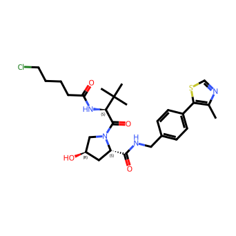 Cc1ncsc1-c1ccc(CNC(=O)[C@@H]2C[C@@H](O)CN2C(=O)[C@@H](NC(=O)CCCCCl)C(C)(C)C)cc1